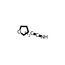 C1CCOC1.C=C=N